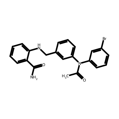 CC(=O)N(c1cccc(Br)c1)c1cccc(CNc2ccccc2C(N)=O)c1